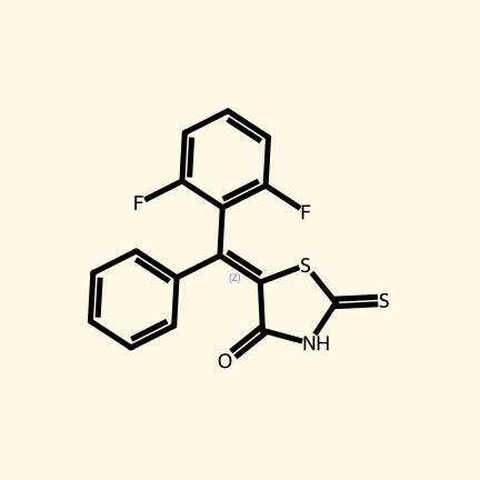 O=C1NC(=S)S/C1=C(/c1ccccc1)c1c(F)cccc1F